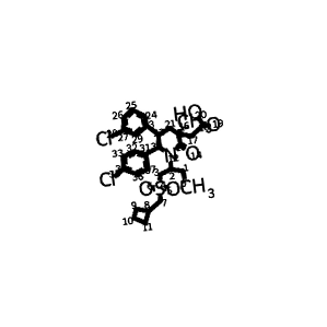 CCC(CS(=O)(=O)CC1CCC1)N1C(=O)C(C)(CC(=O)O)CC(c2cccc(Cl)c2)C1c1ccc(Cl)cc1